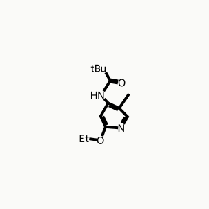 CCOc1cc(NC(=O)C(C)(C)C)c(C)cn1